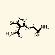 N=C(N)CSc1nsc(S)c1C(N)=O